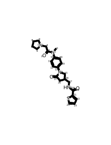 CN(C(=O)CN1CCCC1)c1ccc(N2CC(CNC(=O)c3cccs3)CC2=O)cc1